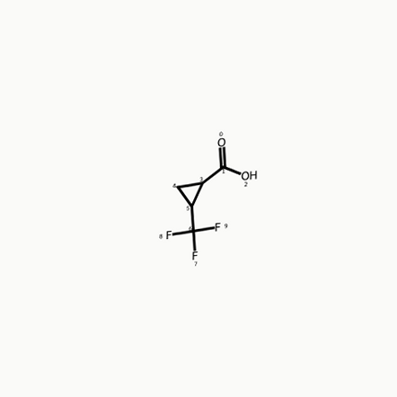 O=C(O)C1CC1C(F)(F)F